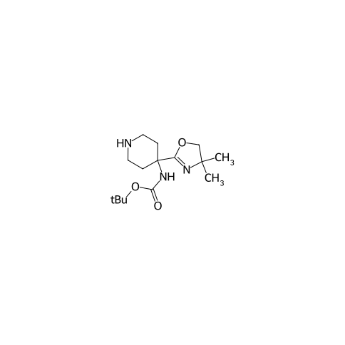 CC1(C)COC(C2(NC(=O)OC(C)(C)C)CCNCC2)=N1